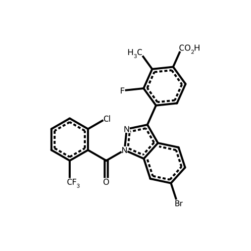 Cc1c(C(=O)O)ccc(-c2nn(C(=O)c3c(Cl)cccc3C(F)(F)F)c3cc(Br)ccc23)c1F